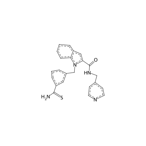 NC(=S)c1cccc(Cn2c(C(=O)NCc3ccncc3)cc3ccccc32)c1